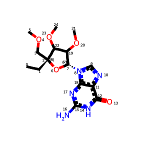 CC[C@]1(COC)O[C@@H](n2cnc3c(=O)[nH]c(N)nc32)C(OC)C1OC